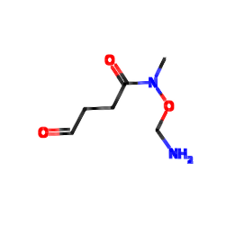 CN(OCN)C(=O)CCC=O